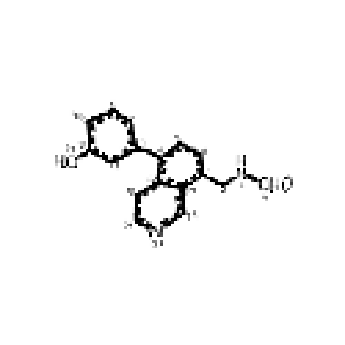 O=CNCc1ccc(-c2cccc(O)c2)c2ccncc12